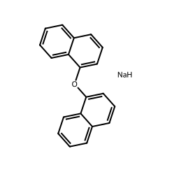 [NaH].c1ccc2c(Oc3cccc4ccccc34)cccc2c1